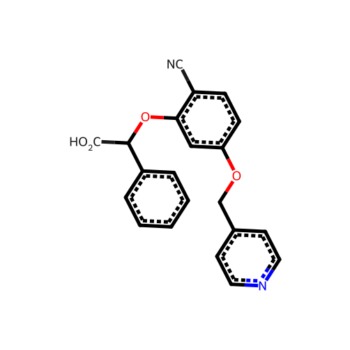 N#Cc1ccc(OCc2ccncc2)cc1OC(C(=O)O)c1ccccc1